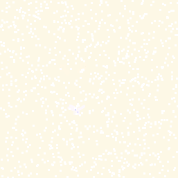 O=S1(=O)CC=Nc2ccccc21